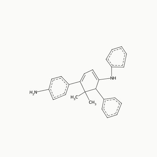 CC1(C)C(c2ccc(N)cc2)=CC=C(Nc2ccccc2)C1c1ccccc1